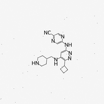 N#Cc1cnc(Nc2cc(NCC3CCNCC3)c(C3CCC3)nn2)cn1